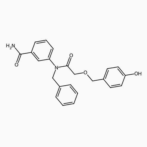 NC(=O)c1cccc(N(Cc2ccccc2)C(=O)COCc2ccc(O)cc2)c1